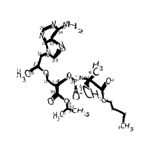 CCCCOC(=O)C(C)(C)/N=[P+](\[O-])OC(COC(C)Cn1cnc2c(N)ncnc21)C(=O)OC(C)C